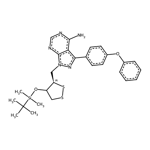 CC(C)(C)[Si](C)(C)OC1CSS[C@@H]1Cn1nc(-c2ccc(Oc3ccccc3)cc2)c2c(N)ncnc21